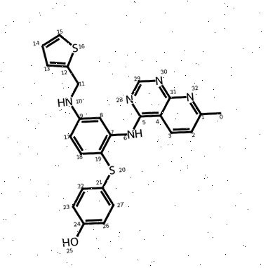 Cc1ccc2c(Nc3cc(NCc4cccs4)ccc3Sc3ccc(O)cc3)ncnc2n1